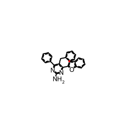 Nc1nc(-c2ccccc2)c(Cc2ccccc2)c(-c2cc3ccccc3o2)n1